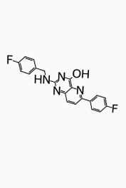 Oc1nc(NCc2ccc(F)cc2)nc2ccc(-c3ccc(F)cc3)nc12